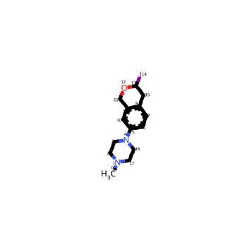 CN1CCN(c2ccc3c(c2)COC(I)C3)CC1